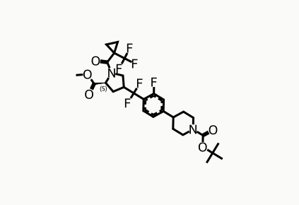 COC(=O)[C@@H]1CC(C(F)(F)c2ccc(C3CCN(C(=O)OC(C)(C)C)CC3)cc2F)CN1C(=O)C1(C(F)(F)F)CC1